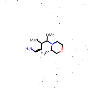 CNC(/C=C\N)C(OC)N1CCOC[C@@H]1C